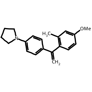 C=C(c1ccc(N2CCCC2)cc1)c1ccc(OC)cc1C